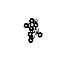 c1ccc(-c2nc(-c3ccc4oc5cccc(-n6c7ccccc7c7ccccc76)c5c4c3)nc(-c3cccc4c3oc3ccccc34)n2)cc1